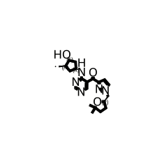 [CH2][C@@H]1C[C@@H](Nc2ncncc2C(=O)c2ccn(C[C@H]3CCC(C)(C)O3)n2)C[C@@H]1O